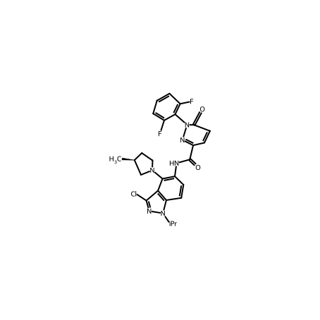 CC(C)n1nc(Cl)c2c(N3CC[C@H](C)C3)c(NC(=O)c3ccc(=O)n(-c4c(F)cccc4F)n3)ccc21